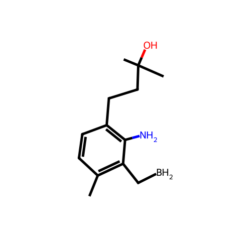 BCc1c(C)ccc(CCC(C)(C)O)c1N